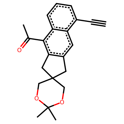 C#Cc1cccc2c(C(C)=O)c3c(cc12)CC1(COC(C)(C)OC1)C3